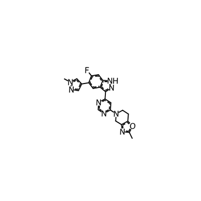 Cc1nc2c(o1)CCN(c1cc(-c3n[nH]c4cc(F)c(-c5cnn(C)c5)cc34)ncn1)C2